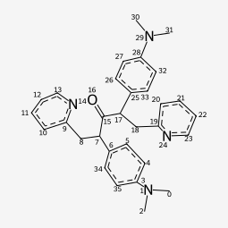 CN(C)c1ccc(C(Cc2ccccn2)C(=O)C(Cc2ccccn2)c2ccc(N(C)C)cc2)cc1